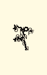 CC(=O)N(C)CCCn1nc(-c2cnc3c(n2)c(C(=O)NC(C)(C)C)cn3COCC[Si](C)(C)C)c2cc(OC(F)F)ccc21